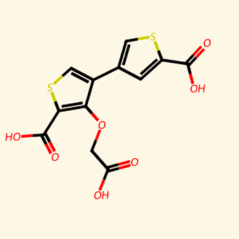 O=C(O)COc1c(-c2csc(C(=O)O)c2)csc1C(=O)O